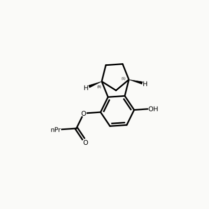 CCCC(=O)Oc1ccc(O)c2c1[C@@H]1CC[C@H]2C1